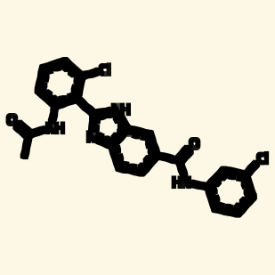 CC(=O)Nc1cccc(Cl)c1-c1nc2ccc(C(=O)Nc3cccc(Cl)c3)cc2[nH]1